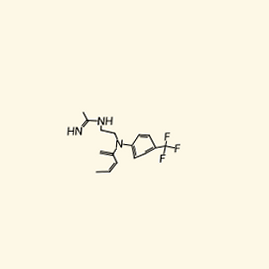 C=C(/C=C\C)N(CCNC(C)=N)c1ccc(C(F)(F)F)cc1